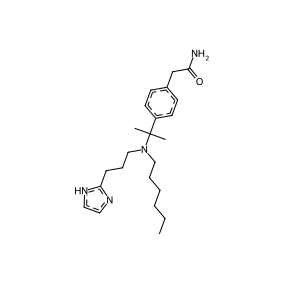 CCCCCCN(CCCc1ncc[nH]1)C(C)(C)c1ccc(CC(N)=O)cc1